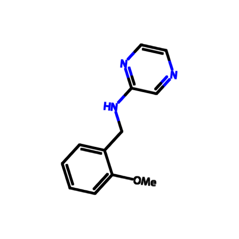 COc1ccccc1CNc1cnccn1